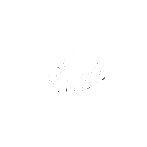 C#CCN[C@@H]1C=C[C@]2(O[C@H]([C@@H](CC)C(=O)[C@@H](C)[C@@H](O)[C@H](C)[C@@H]3O[C@@H]([C@@H](CC)C(=O)NCCC[Si](C)(C)O)CC[C@@H]3C)[C@@H](C)C[C@H]2C)O[C@@]12CC[C@@](C)([C@H]1CC[C@](O)(CC)[C@H](C)O1)O2